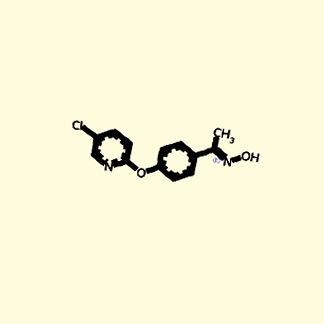 C/C(=N\O)c1ccc(Oc2ccc(Cl)cn2)cc1